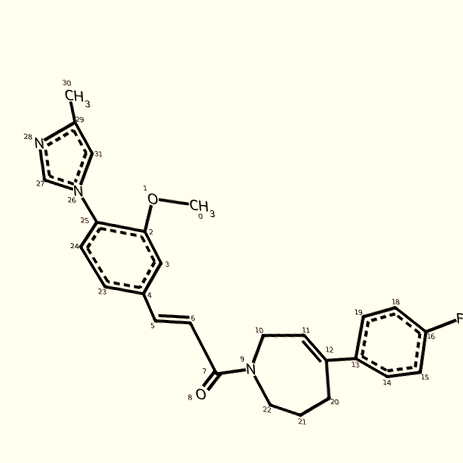 COc1cc(C=CC(=O)N2CC=C(c3ccc(F)cc3)CCC2)ccc1-n1cnc(C)c1